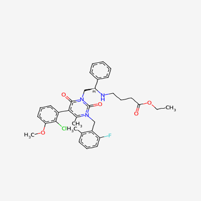 CCOC(=O)CCCN[C@@H](Cn1c(=O)c(-c2cccc(OC)c2Cl)c(C)n(Cc2c(C)cccc2F)c1=O)c1ccccc1